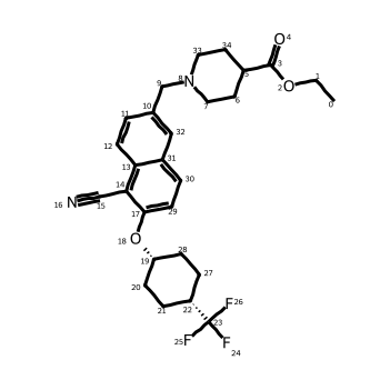 CCOC(=O)C1CCN(Cc2ccc3c(C#N)c(O[C@H]4CC[C@@H](C(F)(F)F)CC4)ccc3c2)CC1